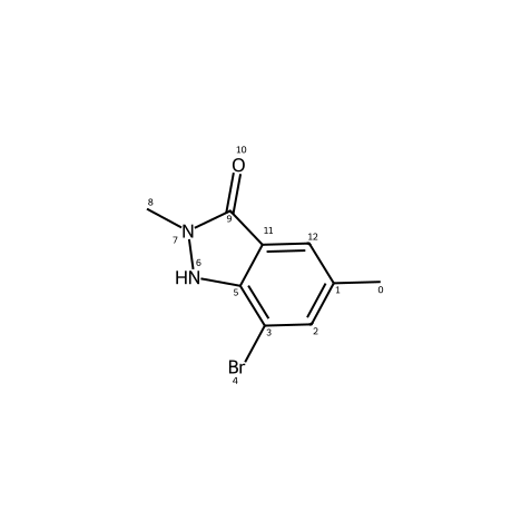 Cc1cc(Br)c2[nH]n(C)c(=O)c2c1